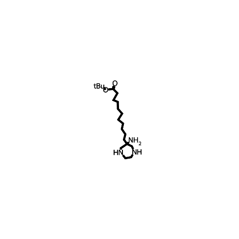 CC(C)(C)OC(=O)CCCCCCCCCCC1(N)CNCCNC1